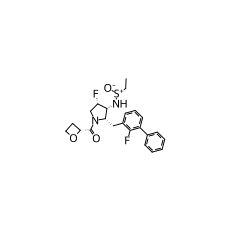 CC[S+]([O-])N[C@H]1[C@@H](F)CN(C(=O)[C@H]2CCO2)[C@H]1Cc1cccc(-c2ccccc2)c1F